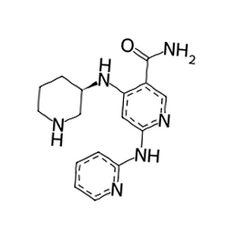 NC(=O)c1cnc(Nc2ccccn2)cc1N[C@@H]1CCCNC1